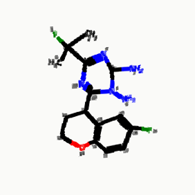 CC(C)(F)C1=NC(N)N(N)C(C2CCOc3ccc(F)cc32)=N1